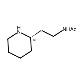 CC(=O)NCC[C@@H]1CCCCN1